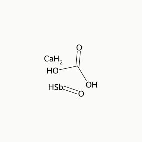 O=C(O)O.[CaH2].[O]=[SbH]